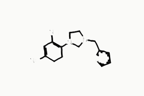 N#CC1=CC(N)=C(N2CCN(Cc3cccs3)C2)CC1